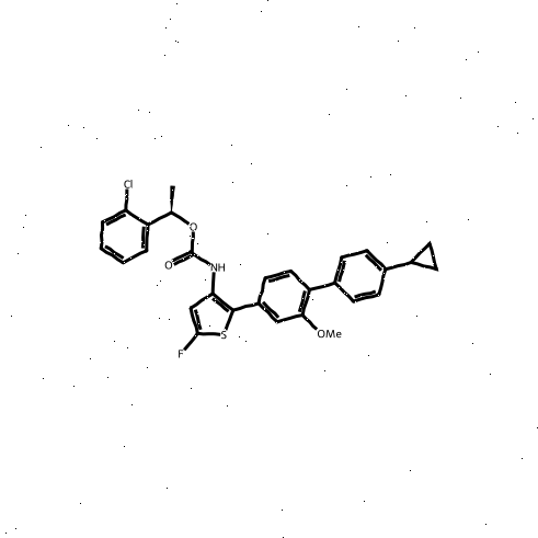 COc1cc(-c2sc(F)cc2NC(=O)O[C@H](C)c2ccccc2Cl)ccc1-c1ccc(C2CC2)cc1